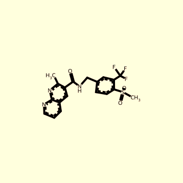 Cc1nc2ncccc2cc1C(=O)NCc1ccc(S(C)(=O)=O)c(C(F)(F)F)c1